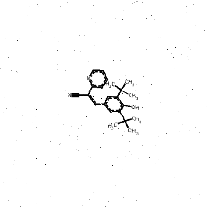 CC(C)(C)c1cc(/C=C(/C#N)c2ccccn2)cc(C(C)(C)C)c1O